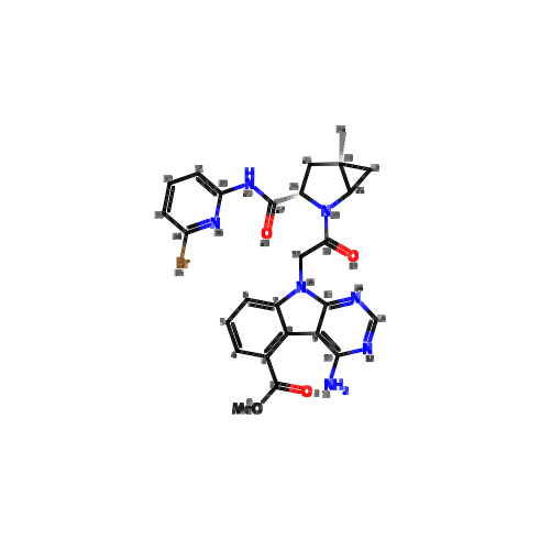 COC(=O)c1cccc2c1c1c(N)ncnc1n2CC(=O)N1C2C[C@]2(C)C[C@H]1C(=O)Nc1cccc(Br)n1